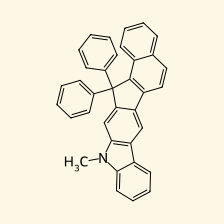 Cn1c2ccccc2c2cc3c(cc21)C(c1ccccc1)(c1ccccc1)c1c-3ccc2ccccc12